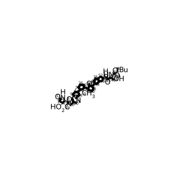 Cc1c(-c2ccn3c(=O)c(CN(C[C@@H]4CCC(=O)N4)C(=O)O)cnc3c2)cccc1-c1cccc(-c2ccc3c(c2)CC(NC(=O)C(CO)NC(=O)OC(C)(C)C)C3)c1Cl